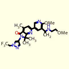 C=C(NCCOC)c1cc(-c2cc(C)c3c(n2)C(C)(C)N(c2cnn(CC(F)(F)F)c2)C3=O)cnc1OC